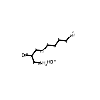 CCC(CN)CSCCCCS.Cl